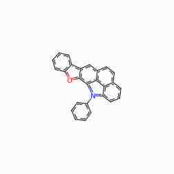 c1ccc(-n2c3cccc4ccc5cc6c7ccccc7oc6c2c5c43)cc1